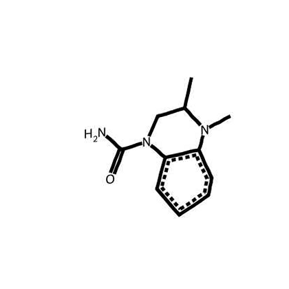 CC1CN(C(N)=O)c2ccccc2N1C